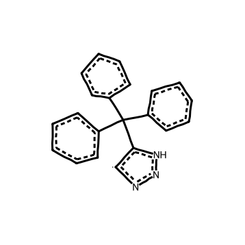 [c]1nn[nH]c1C(c1ccccc1)(c1ccccc1)c1ccccc1